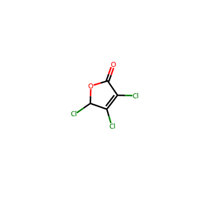 O=C1OC(Cl)C(Cl)=C1Cl